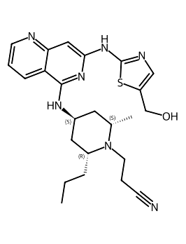 CCC[C@@H]1C[C@@H](Nc2nc(Nc3ncc(CO)s3)cc3ncccc23)C[C@H](C)N1CCC#N